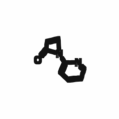 O=C1C=CN1c1ccccn1